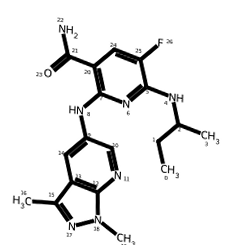 CCC(C)Nc1nc(Nc2cnc3c(c2)c(C)nn3C)c(C(N)=O)cc1F